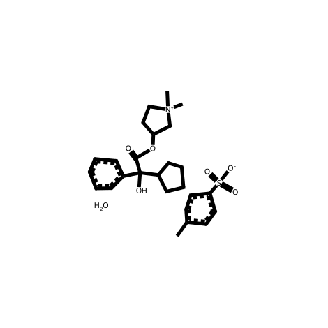 C[N+]1(C)CCC(OC(=O)C(O)(c2ccccc2)C2CCCC2)C1.Cc1ccc(S(=O)(=O)[O-])cc1.O